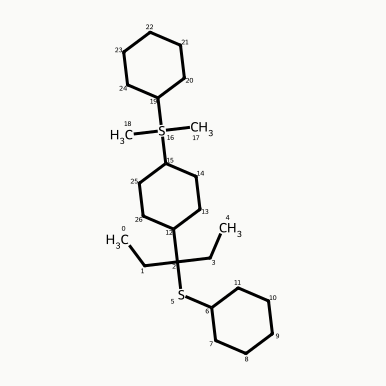 CCC(CC)(SC1CCCCC1)C1CCC(S(C)(C)C2CCCCC2)CC1